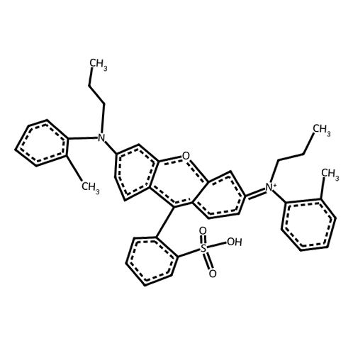 CCCN(c1ccc2c(-c3ccccc3S(=O)(=O)O)c3cc/c(=[N+](/CCC)c4ccccc4C)cc-3oc2c1)c1ccccc1C